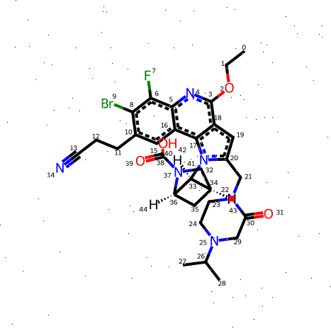 CCOc1nc2c(F)c(Br)c(CCC#N)cc2c2c1cc(CN1CCN(C(C)C)CC1=O)n2[C@H]1[C@@H]2C[C@H]1N(C(=O)O)C2